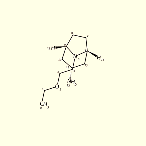 CCOCCN1[C@@H]2CC[C@H]1C[C@@H](N)C2